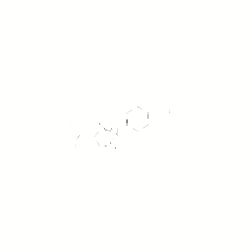 CSc1ccc(-n2ncc(C(=O)O)n2)cc1